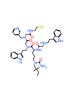 CCC(C)(C)CN(CCCC(NC(=O)CNCCc1c[nH]c2ccccc12)C(=O)N(CCc1c[nH]c2ccccc12)CC(=O)N(CC(=O)NCCS)Cc1cccnc1)C(N)=O